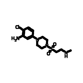 CNCCS(=O)(=O)N1CCN(c2ccc(Cl)c(N)c2)CC1